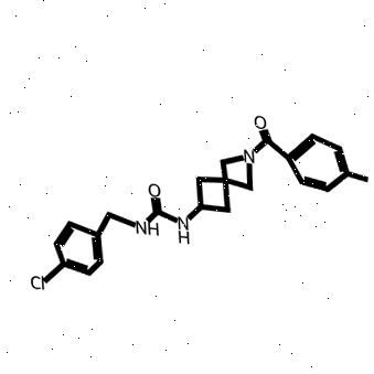 Cc1ccc(C(=O)N2CC3(CC(NC(=O)NCc4ccc(Cl)cc4)C3)C2)cc1